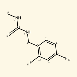 CNC(=S)NCc1ccc(F)cc1F